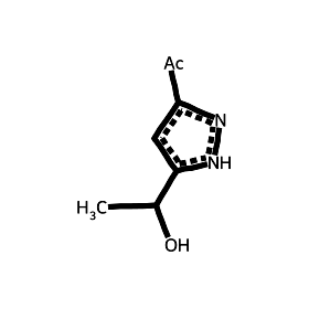 CC(=O)c1cc(C(C)O)[nH]n1